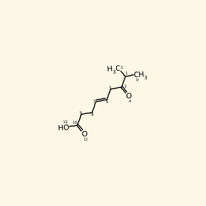 CC(C)C(=O)C/C=C/CCC(=O)O